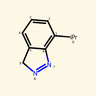 CC(C)c1cccc2c1N=NC2